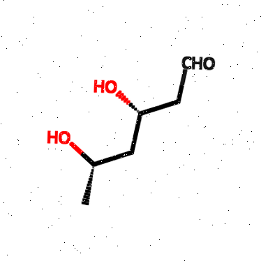 C[C@H](O)C[C@H](O)CC=O